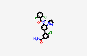 CN(C(=O)c1c(F)cccc1Cl)c1ccc(-c2cc(C(N)=O)ccc2Cl)cc1-n1cccn1